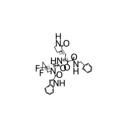 O=C(NCc1ccccc1)C(=O)[C@H](C[C@@H]1CCNC1=O)NC(=O)[C@@H]1C[C@@]2(CN1C(=O)c1cc3ccccc3[nH]1)CC2(F)F